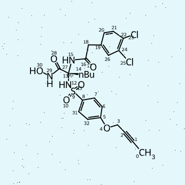 CC#CCOc1ccc(S(=O)(=O)N[C@@](CCCC)(NC(=O)Cc2ccc(Cl)c(Cl)c2)C(=O)NO)cc1